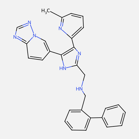 Cc1cccc(-c2nc(CNCc3ccccc3-c3ccccc3)[nH]c2-c2ccc3ncnn3c2)n1